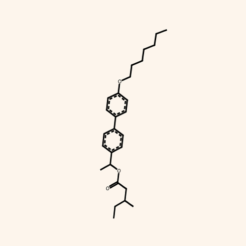 CCCCCCCOc1ccc(-c2ccc(C(C)OC(=O)CC(C)CC)cc2)cc1